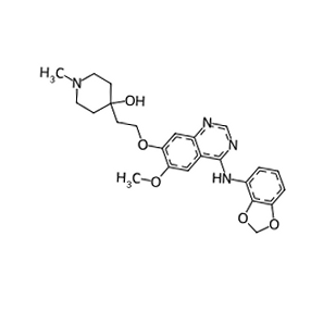 COc1cc2c(Nc3cccc4c3OCO4)ncnc2cc1OCCC1(O)CCN(C)CC1